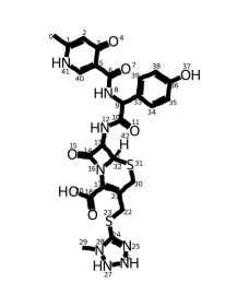 Cc1cc(=O)c(C(=O)NC(C(=O)NC2C(=O)N3C(C(=O)O)=C(CSC4=NNNN4C)CS[C@@H]23)c2ccc(O)cc2)c[nH]1